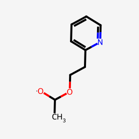 CC([O])OCCc1ccccn1